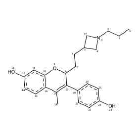 CCCN1CC(CCC2Oc3cc(O)ccc3C(C)=C2c2ccc(O)cc2)C1